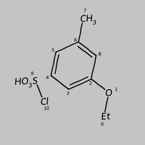 CCOc1cccc(C)c1.O=S(=O)(O)Cl